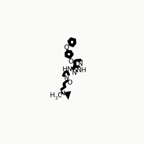 CN(C/C=C/C(=O)N1CCC(Nc2n[nH]c3nccc(Oc4ccc(Oc5ccccc5)cc4)c23)C1)C1CC1